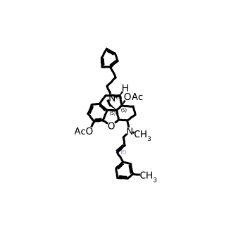 CC(=O)Oc1ccc2c3c1OC1C(N(C)C/C=C/c4cccc(C)c4)CC[C@@]4(OC(C)=O)[C@@H](C2)N(CCc2ccccc2)CC[C@]314